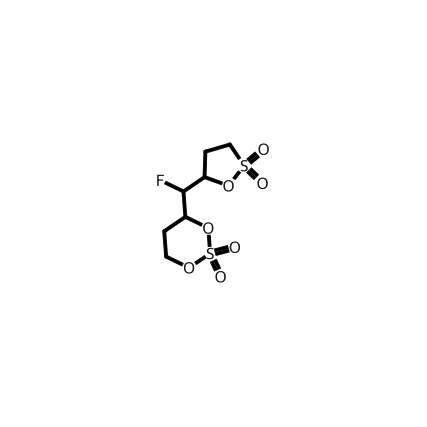 O=S1(=O)CCC(C(F)C2CCOS(=O)(=O)O2)O1